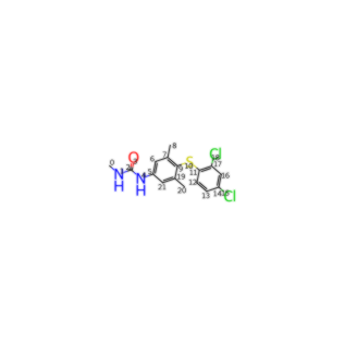 CNC(=O)Nc1cc(C)c(Sc2ccc(Cl)cc2Cl)c(C)c1